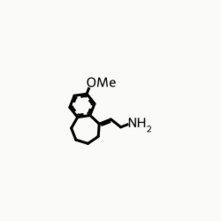 COc1ccc2c(c1)C(=CCN)CCCC2